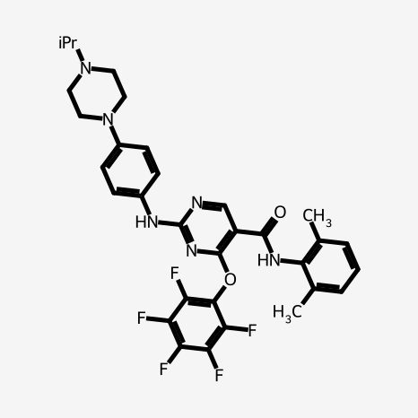 Cc1cccc(C)c1NC(=O)c1cnc(Nc2ccc(N3CCN(C(C)C)CC3)cc2)nc1Oc1c(F)c(F)c(F)c(F)c1F